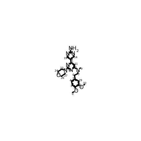 COc1ccc(CCN(C)c2cc(-c3cnc(N)nc3)nc(N3CCOCC3)n2)cc1OC